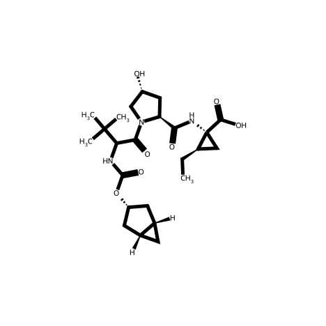 CC[C@@H]1C[C@]1(NC(=O)[C@@H]1C[C@@H](O)CN1C(=O)C(NC(=O)O[C@@H]1C[C@@H]2C[C@@H]2C1)C(C)(C)C)C(=O)O